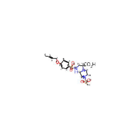 CC#CCOc1ccc(S(=O)(=O)NCC(C(=O)O)N2CCN(S(C)(=O)=O)CC2)cc1